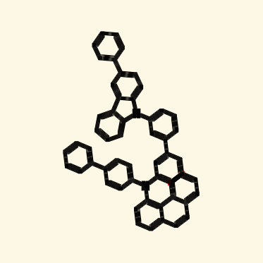 c1ccc(-c2ccc(N(c3cccc(-c4cccc(-n5c6ccccc6c6cc(-c7ccccc7)ccc65)c4)c3)c3cccc4ccc5ccccc5c34)cc2)cc1